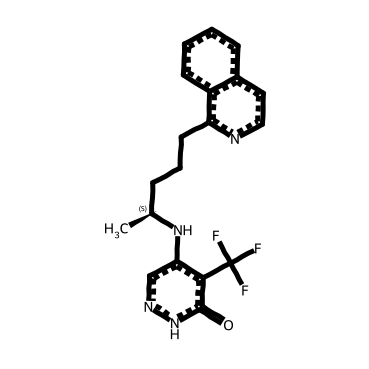 C[C@@H](CCCc1nccc2ccccc12)Nc1cn[nH]c(=O)c1C(F)(F)F